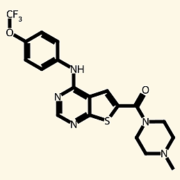 CN1CCN(C(=O)c2cc3c(Nc4ccc(OC(F)(F)F)cc4)ncnc3s2)CC1